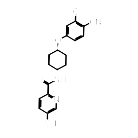 Cc1ccc(C(=O)N[C@H]2CC[C@H](Oc3ccc(C#N)c(Cl)c3)CC2)nc1